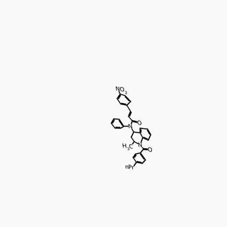 CCCc1ccc(C(=O)N2c3ccccc3C(N(C(=O)/C=C/c3ccc([N+](=O)[O-])cc3)c3ccccc3)CC2C)cc1